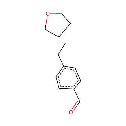 C1CCOC1.CCc1ccc(C=O)cc1